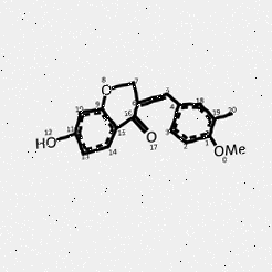 COc1ccc(C=C2COc3cc(O)ccc3C2=O)cc1C